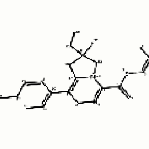 C=C(S/C=C\C)C1=NCC(C(/C=C\CC)=C/C)=C2CC(F)(CC)CN12